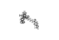 CC(C)Oc1ccc(C(=O)CCCCCC(=O)N[C@H](CN2CCCC2)[C@H](O)c2ccc3c(c2)OCO3)cc1